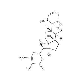 CC1=C(C)C(=O)O[C@@H]([C@@H](C)[C@]2(O)CC[C@@]3(O)[C@@H]4CC=C5CC=CC(=O)[C@]5(C)[C@H]4CC[C@]23C)C1